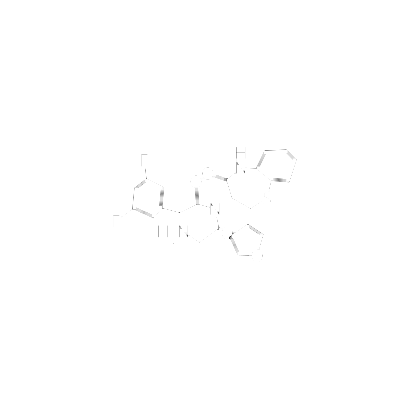 C[C@H](N)C(=O)N(C(=O)Cc1cc(F)cc(F)c1)[C@@H]1C(=O)Nc2ccccc2S[C@@H]1c1ccoc1